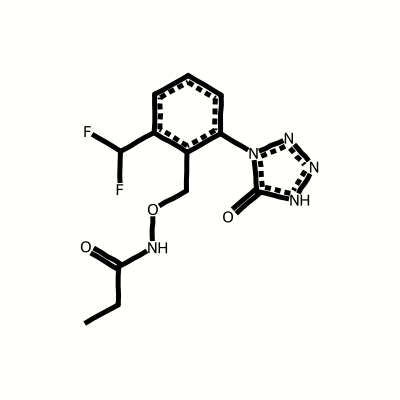 CCC(=O)NOCc1c(C(F)F)cccc1-n1nn[nH]c1=O